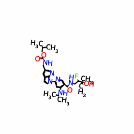 CC(C)COC(=O)NCc1cnc2c(ccn2-c2cc(NC(C)C)c(C(=O)NCC(F)C(C)(C)O)cn2)c1